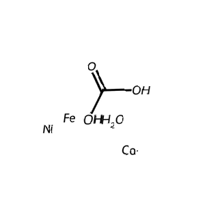 O.O=C(O)O.[Co].[Fe].[Ni]